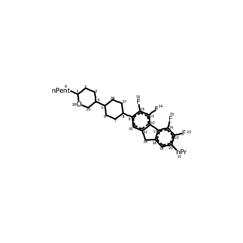 CCCCCC1CCC(C2CCC(c3cc4c(c(F)c3F)-c3c(cc(CCC)c(F)c3F)C4)CC2)CO1